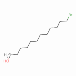 O[SiH2]CCCCCCCCCCCBr